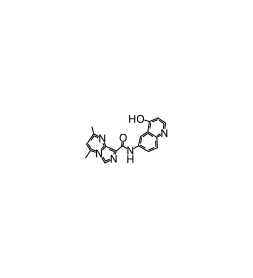 Cc1cc(C)n2cnc(C(=O)Nc3ccc4nccc(O)c4c3)c2n1